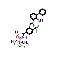 Cc1c(/C=C/c2cc(C(C)N[S+]([O-])C(C)(C)C)ccc2C(F)(F)F)cccc1-c1ccccc1